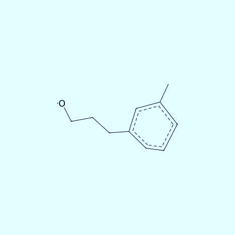 Cc1cccc(CCC[O])c1